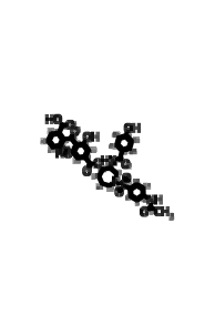 CC(=O)Nc1ccc(S(=O)(=O)N2CCC[C@H](OC(=O)c3cc(O)c(C(=O)c4c(O)cccc4C(=O)O)c(O)c3)[C@@H](NC(=O)c3ccc(O)cc3)C2)cc1